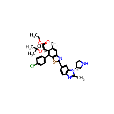 CCOC(=O)[C@@H](OC(C)(C)C)c1c(C)cc2nc(-c3ccc4nc(C)n([C@@H]5CCNC5)c4c3)sc2c1-c1ccc(Cl)cc1